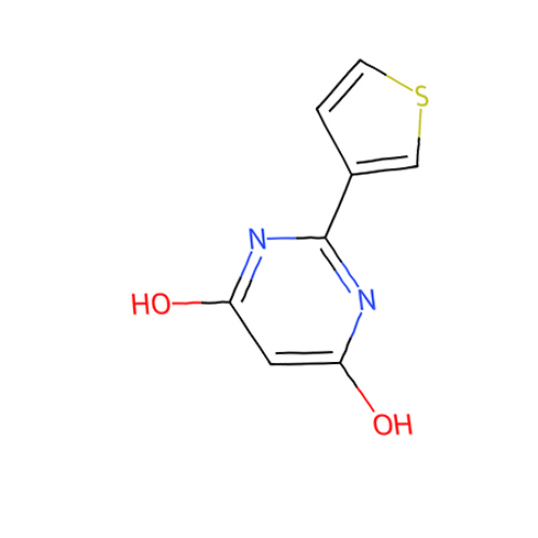 Oc1cc(O)nc(-c2ccsc2)n1